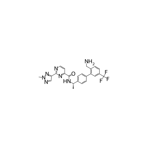 C[C@@H](NC(=O)c1ccnc(-c2cnn(C)n2)n1)c1ccc(-c2cc(C(F)(F)F)ccc2CN)cc1